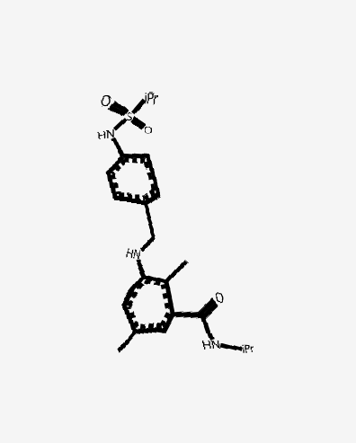 Cc1cc(NCc2ccc(NS(=O)(=O)C(C)C)cc2)c(C)c(C(=O)NC(C)C)c1